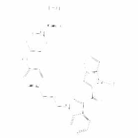 CCn1c(C(=O)c2cn(CCCc3ccc(OC4CCN(C(=O)OC(C)(C)C)CC4)cc3)c3ccccc23)cc2sccc21